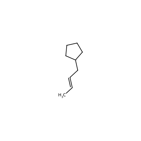 C/C=C/C[C]1CCCC1